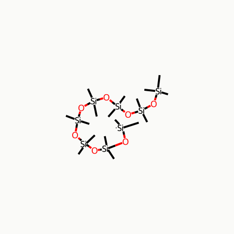 C[Si](C)O[Si](C)(C)O[Si](C)(C)O[Si](C)(C)O[Si](C)(C)O[Si](C)(C)O[Si](C)(C)O[Si](C)(C)C